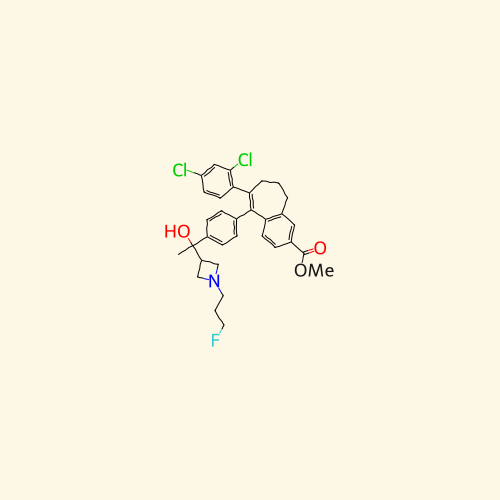 COC(=O)c1ccc2c(c1)CCCC(c1ccc(Cl)cc1Cl)=C2c1ccc(C(C)(O)C2CN(CCCF)C2)cc1